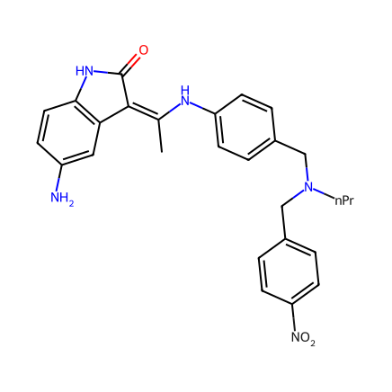 CCCN(Cc1ccc(N/C(C)=C2\C(=O)Nc3ccc(N)cc32)cc1)Cc1ccc([N+](=O)[O-])cc1